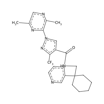 Cc1cnc(C)c(-n2cc(C(=O)NCC3(c4cccnc4)CCCCC3)c(C(F)(F)F)n2)n1